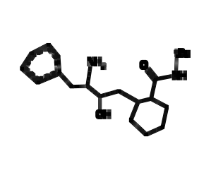 CC(C)(C)NC(=O)C1CCCCC1CC(O)C(N)Cc1ccccc1